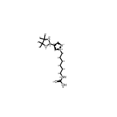 CC1(C)OB(c2cnn(CCCCCCNC(=O)O)c2)OC1(C)C